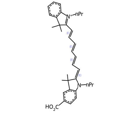 CCCN1/C(=C/C=C/C=C/C=C/C2=[N+](CCC)c3ccccc3C2(C)C)C(C)(C)c2cc(C(=O)O)ccc21